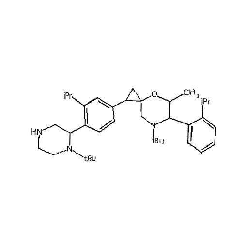 CC(C)c1cc(C2CC23CN(C(C)(C)C)C(c2ccccc2C(C)C)C(C)O3)ccc1C1CNCCN1C(C)(C)C